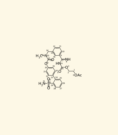 CC(=O)OCCOC(=O)NC(=N)c1cccc(CN(C)C(=O)Oc2ccc(-c3ccccc3S(N)(=O)=O)cc2)c1